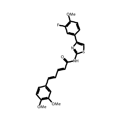 COc1ccc(-c2csc(NC(=O)/C=C/C=C/c3ccc(OC)c(OC)c3)n2)cc1F